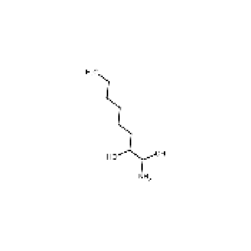 CCCCCCC(O)C(N)O